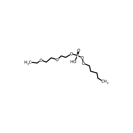 CCCCCOOP(=O)(O)OCCOCCOCC